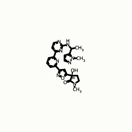 CC(Nc1nccc(-c2cccc(-c3cc([C@]4(O)CCN(C)C4=O)on3)n2)n1)c1ccnn1C